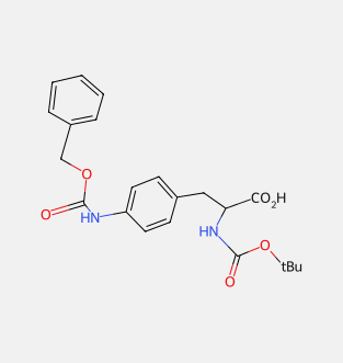 CC(C)(C)OC(=O)NC(Cc1ccc(NC(=O)OCc2ccccc2)cc1)C(=O)O